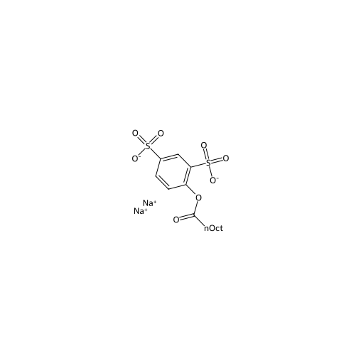 CCCCCCCCC(=O)Oc1ccc(S(=O)(=O)[O-])cc1S(=O)(=O)[O-].[Na+].[Na+]